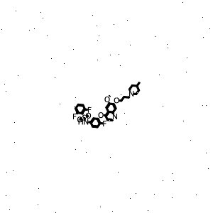 COc1cc2c(Oc3cc(NS(=O)(=O)c4c(F)cccc4F)ccc3F)ccnc2cc1OCCCN1CCC(C)CC1